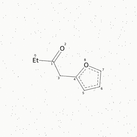 [CH2]CC(=O)Cc1ccco1